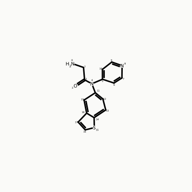 NCC(=O)N(c1ccncc1)c1ccc2sccc2c1